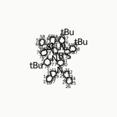 CC(C)(C)c1ccc(N2c3cc(N(c4ccc5ccccc5c4)c4ccc5ccccc5c4)ccc3B3c4sc5ccc(C(C)(C)C)cc5c4N(c4ccc(C(C)(C)C)cc4)c4cc([Si](c5ccccc5)(c5ccccc5)c5ccccc5)cc2c43)cc1